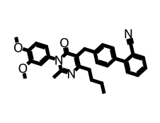 CCCCc1nc(C)n(-c2ccc(OC)c(OC)c2)c(=O)c1Cc1ccc(-c2ccccc2C#N)cc1